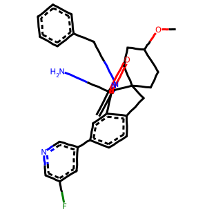 COC1CCC2(CC1)Cc1ccc(-c3cncc(F)c3)cc1C21N=C(N)N(Cc2ccccc2)C1=O